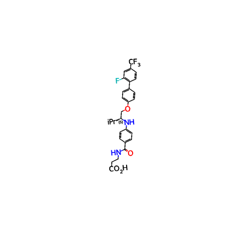 CC(C)[C@@H](COc1ccc(-c2ccc(C(F)(F)F)cc2F)cc1)Nc1ccc(C(=O)NCCC(=O)O)cc1